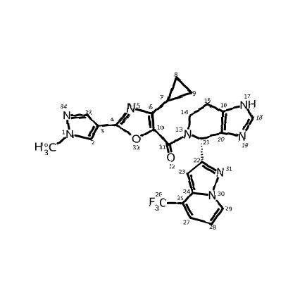 Cn1cc(-c2nc(C3CC3)c(C(=O)N3CCc4[nH]cnc4[C@@H]3c3cc4c(C(F)(F)F)cccn4n3)o2)cn1